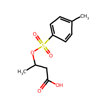 Cc1ccc(S(=O)(=O)OC(C)CC(=O)O)cc1